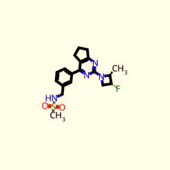 C[C@H]1[C@H](F)CN1c1nc2c(c(-c3cccc(CNS(C)(=O)=O)c3)n1)CCC2